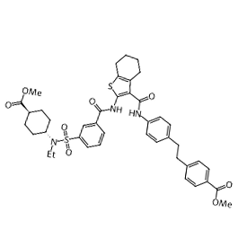 CCN([C@H]1CC[C@H](C(=O)OC)CC1)S(=O)(=O)c1cccc(C(=O)Nc2sc3c(c2C(=O)Nc2ccc(CCc4ccc(C(=O)OC)cc4)cc2)CCCC3)c1